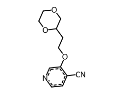 N#Cc1ccncc1OCCC1COCCO1